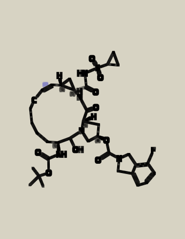 CC(C)(C)OC(=O)N[C@H]1CCCCC/C=C\[C@@H]2C[C@@]2(C(=O)NS(=O)(=O)C2CC2)NC(=O)[C@@H]2C[C@@H](OC(=O)N3Cc4cccc(F)c4C3)CN2C1O